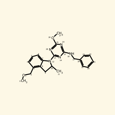 COCc1cccc2c1CC(C)N2c1nc(NCc2ccccc2)nc(OC)n1